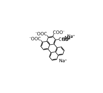 O=C([O-])c1c(C(=O)[O-])c2c(C(=O)[O-])ccc3c4cccc5cccc(c(c1C(=O)[O-])c23)c54.[Na+].[Na+].[Na+].[Na+]